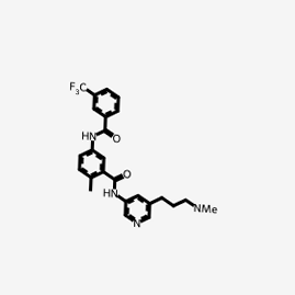 CNCCCc1cncc(NC(=O)c2cc(NC(=O)c3cccc(C(F)(F)F)c3)ccc2C)c1